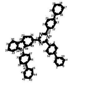 c1ccc(-c2ccc(-c3nc(-c4ccc(-c5ccccc5)cc4)nc(-c4ccc5c6ccccc6n(-c6ccc(-c7ccccc7)cc6)c5c4)n3)cc2)cc1